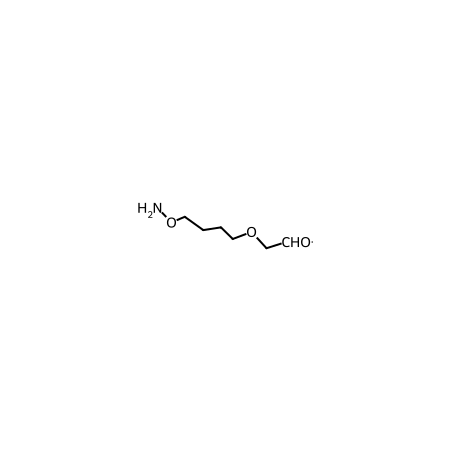 NOCCCCOC[C]=O